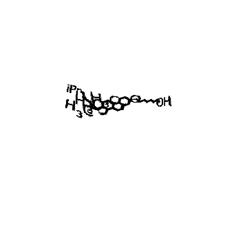 CC(C)CCC[C@@H](C)[C@H]1CCC2C3CC=C4C[C@@H](OCCCCCCO)CC[C@]4(C)C3CC[C@@]21C